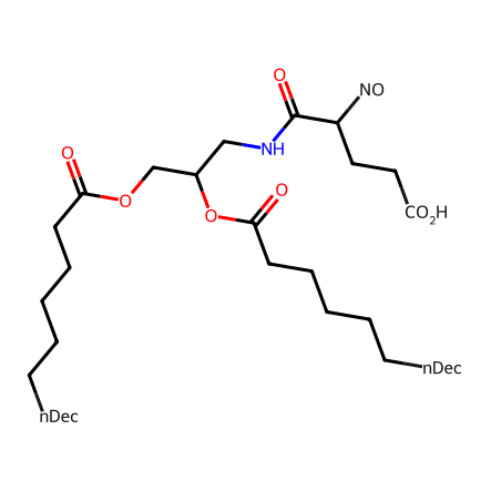 CCCCCCCCCCCCCCCC(=O)OCC(CNC(=O)C(CCC(=O)O)N=O)OC(=O)CCCCCCCCCCCCCCC